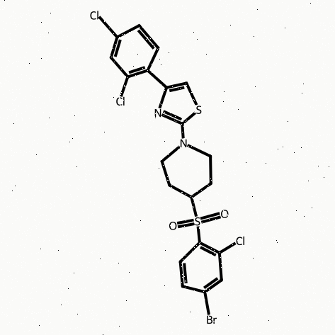 O=S(=O)(c1ccc(Br)cc1Cl)C1CCN(c2nc(-c3ccc(Cl)cc3Cl)cs2)CC1